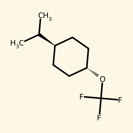 CC(C)[C@H]1CC[C@H](OC(F)(F)F)CC1